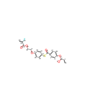 C=CC(=O)Oc1ccc(C(=O)Sc2ccc(OCCOC(=O)C(=C)F)cc2)cc1